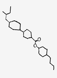 CCCCC1CCC(OC(=O)C2CCC(C3CCC(CC(C)CC)CC3)CC2)CC1